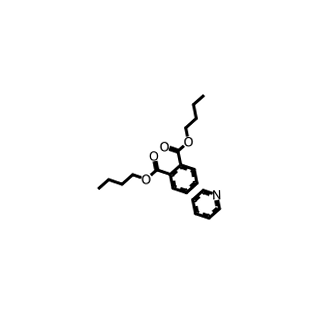 CCCCOC(=O)c1ccccc1C(=O)OCCCC.c1ccncc1